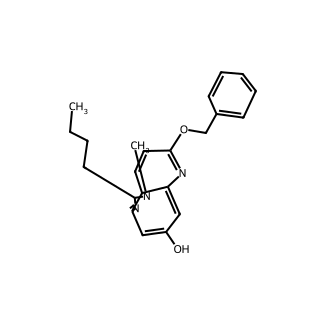 CCCCC1N=C2C=C(O)C=C3N=C(OCc4ccccc4)C=CC32N1C